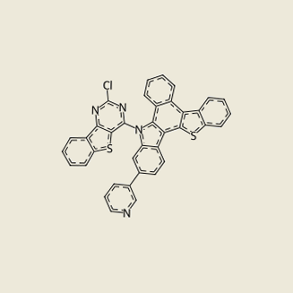 Clc1nc(-n2c3cc(-c4cccnc4)ccc3c3c4sc5ccccc5c4c4ccccc4c32)c2sc3ccccc3c2n1